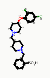 O=S(=O)(O)c1ccccc1CN1CCC(CN2CCC(Oc3ccc(Cl)cc3Cl)CC2)CC1